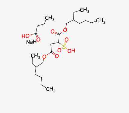 CCCC(=O)O.CCCCC(CC)COC(=O)CC(C(=O)OCC(CC)CCCC)S(=O)(=O)O.[NaH]